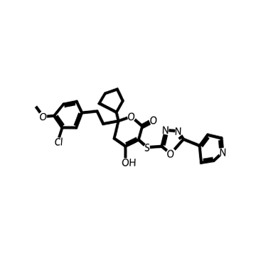 COc1ccc(CCC2(C3CCCC3)CC(O)=C(Sc3nnc(-c4ccncc4)o3)C(=O)O2)cc1Cl